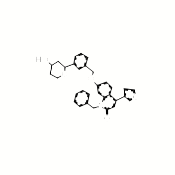 O=c1cc(-c2ccoc2)c2ccc(OCc3cccc(C4CC(O)CCO4)c3)cc2n1Cc1ccccc1